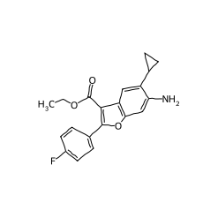 CCOC(=O)c1c(-c2ccc(F)cc2)oc2cc(N)c(C3CC3)cc12